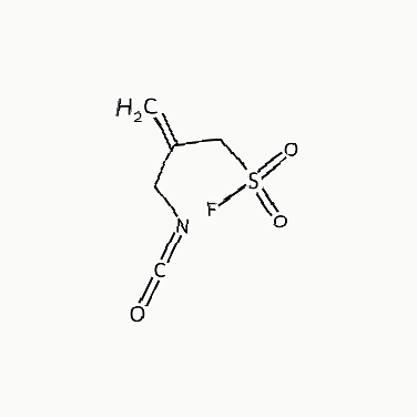 C=C(CN=C=O)CS(=O)(=O)F